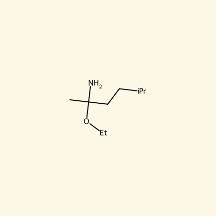 CCOC(C)(N)CCC(C)C